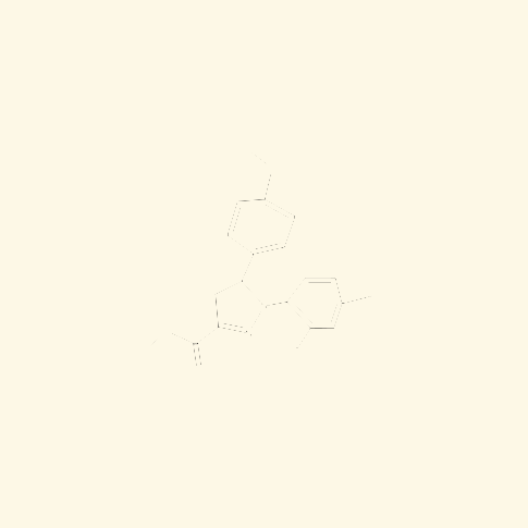 COC(=O)C1=NN(c2ccc(Cl)cc2Cl)C(c2ccc(OC)cc2)C1